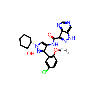 COc1ccc(Cl)cc1-c1nn([C@H]2CCCC[C@H]2O)cc1NC(=O)c1n[nH]c2cncnc12